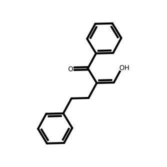 O=C(C(=CO)CCc1ccccc1)c1ccccc1